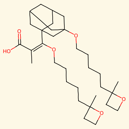 CC(C(=O)O)=C(OCCCCCC1(C)CCO1)C12CC3CC(CC(OCCCCCC4(C)CCO4)(C3)C1)C2